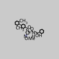 CO/N=C1\C[C@@H](C(=O)NC[C@@H](O)c2ccccc2)N(C(=O)c2ccc(-c3c(C)cccc3C)cc2)C1